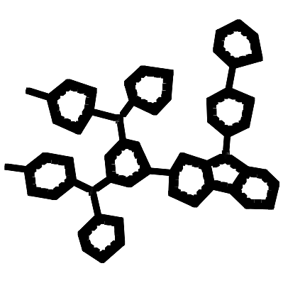 Cc1ccc(N(c2ccccc2)c2cc(-c3ccc4c5ccccc5n(-c5ccc(-c6ccccc6)cc5)c4c3)cc(N(c3ccccc3)c3ccc(C)cc3)c2)cc1